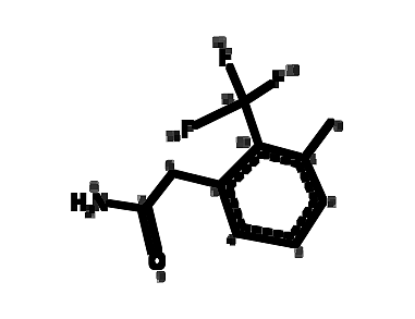 Cc1cccc(CC(N)=O)c1C(F)(F)F